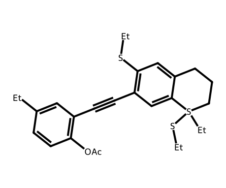 CCSc1cc2c(cc1C#Cc1cc(CC)ccc1OC(C)=O)S(CC)(SCC)CCC2